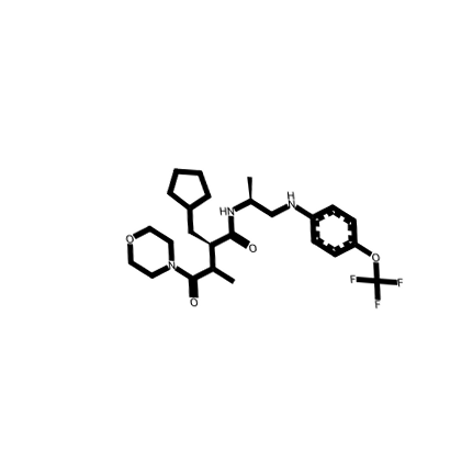 CC(C(=O)N1CCOCC1)[C@@H](CC1CCCC1)C(=O)N[C@@H](C)CNc1ccc(OC(F)(F)F)cc1